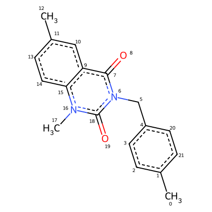 Cc1ccc(Cn2c(=O)c3cc(C)ccc3n(C)c2=O)cc1